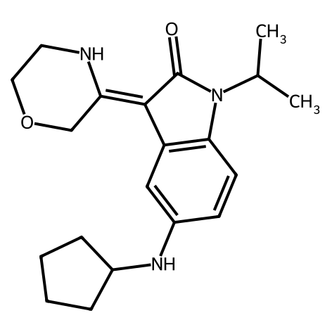 CC(C)N1C(=O)/C(=C2/COCCN2)c2cc(NC3CCCC3)ccc21